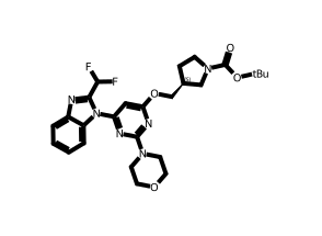 CC(C)(C)OC(=O)N1CC[C@H](COc2cc(-n3c(C(F)F)nc4ccccc43)nc(N3CCOCC3)n2)C1